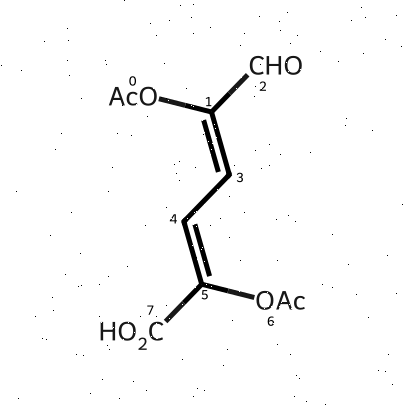 CC(=O)O/C(C=O)=C\C=C(/OC(C)=O)C(=O)O